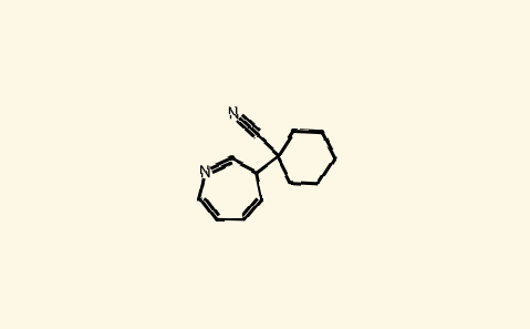 N#CC1(C2C=CC=CN=C2)CCCCC1